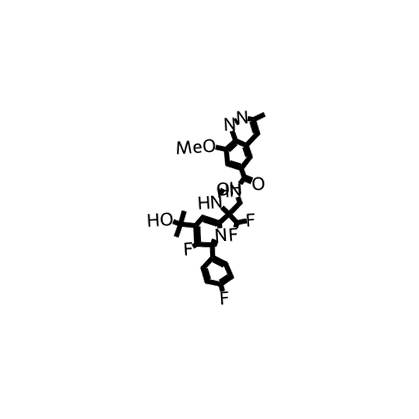 COc1cc(C(=O)NCC(NO)(c2cc(C(C)(C)O)c(F)c(-c3ccc(F)cc3)n2)C(F)F)cc2cc(C)nnc12